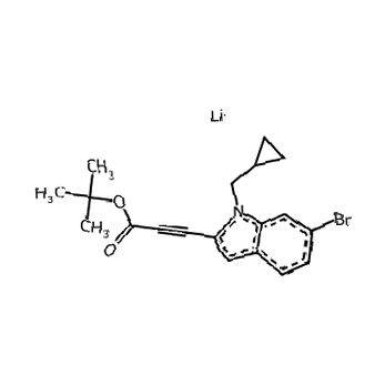 CC(C)(C)OC(=O)C#Cc1cc2ccc(Br)cc2n1CC1CC1.[Li]